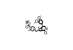 COc1ccc(-c2cn(C)c(=O)c3cc(CN4CCN(C(=O)OC(C)(C)C)C(C)C4)sc23)cc1OC